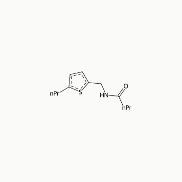 CCCC(=O)NCc1ccc(CCC)s1